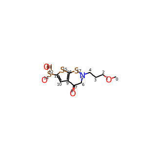 COCCCN1CC(=O)c2cc([SH](=O)=O)sc2S1